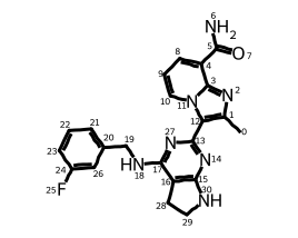 Cc1nc2c(C(N)=O)cccn2c1-c1nc2c(c(NCc3cccc(F)c3)n1)CCN2